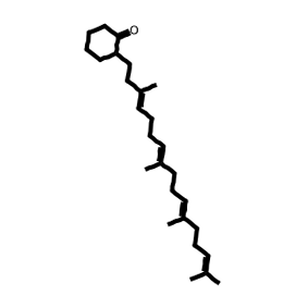 CC(C)=CCC/C(C)=C/CC/C(C)=C/CC/C=C(\C)CCC1CCCCC1=O